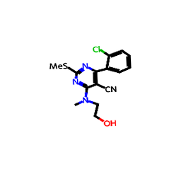 CSc1nc(-c2ccccc2Cl)c(C#N)c(N(C)CCO)n1